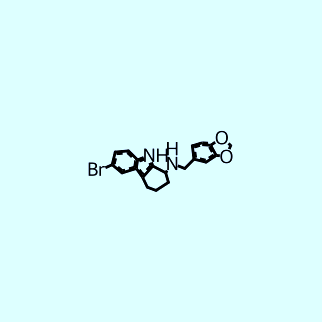 Brc1ccc2[nH]c3c(c2c1)CCCC3NCc1ccc2c(c1)OCO2